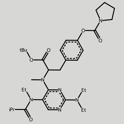 CCN(CC)c1ncc(N(CC)C(=O)C(C)C)c(N(C)C(Cc2ccc(OC(=O)N3CCCC3)cc2)C(=O)OC(C)(C)C)n1